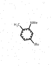 CNc1cc(C(C)(C)C)ccc1C